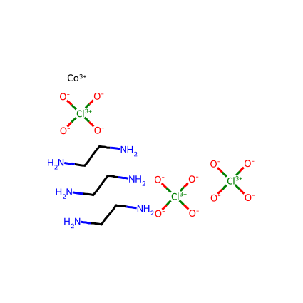 NCCN.NCCN.NCCN.[Co+3].[O-][Cl+3]([O-])([O-])[O-].[O-][Cl+3]([O-])([O-])[O-].[O-][Cl+3]([O-])([O-])[O-]